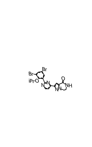 CC(C)Oc1c(Br)cc(Br)cc1-c1nccc(-c2cc3n(n2)CCNC3=O)n1